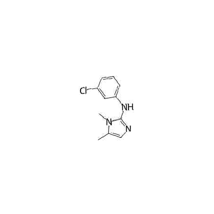 Cc1cnc(Nc2cccc(Cl)c2)n1C